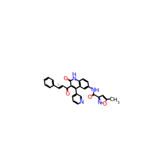 Cc1cc(C(=O)Nc2ccc3[nH]c(=O)c(C(=O)/C=C/c4ccccc4)c(-c4cccnc4)c3c2)no1